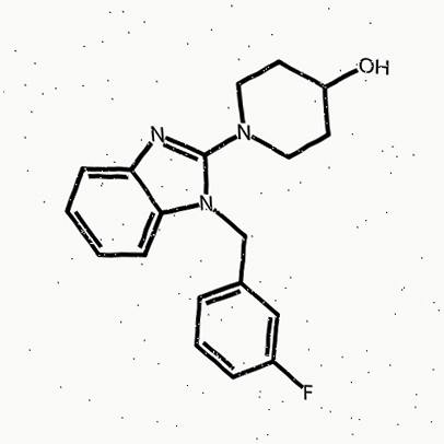 OC1CCN(c2nc3ccccc3n2Cc2cccc(F)c2)CC1